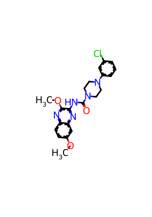 COc1ccc2nc(OC)c(NC(=O)N3CCN(c4cccc(Cl)c4)CC3)nc2c1